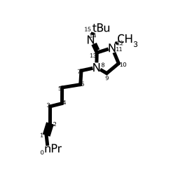 CCCC#CCCCCCN1CCN(C)C1=NC(C)(C)C